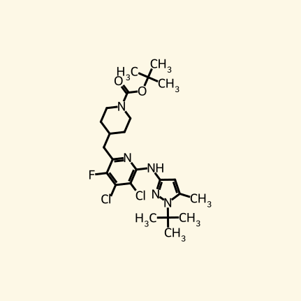 Cc1cc(Nc2nc(CC3CCN(C(=O)OC(C)(C)C)CC3)c(F)c(Cl)c2Cl)nn1C(C)(C)C